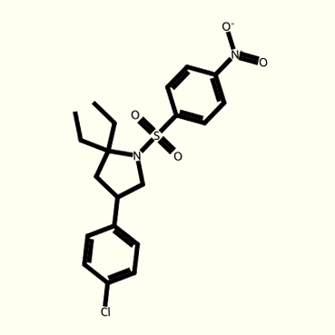 CCC1(CC)CC(c2ccc(Cl)cc2)CN1S(=O)(=O)c1ccc([N+](=O)[O-])cc1